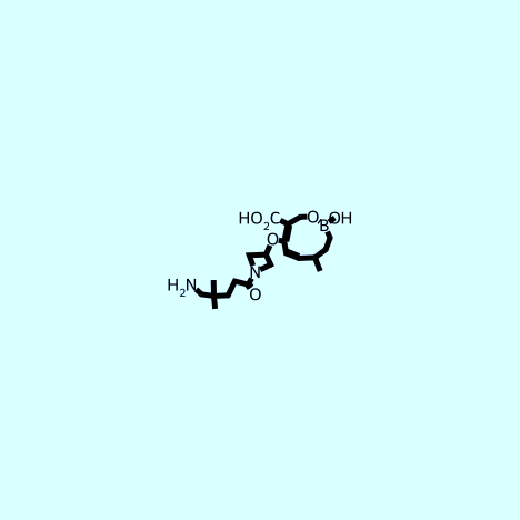 CC1/C=C\C(OC2CN(C(=O)CCC(C)(C)CN)C2)=C(\C(=O)O)COB(O)CC1